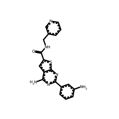 Nc1cccc(-c2nc(N)c3cc(C(=O)NCc4cccnc4)sc3n2)c1